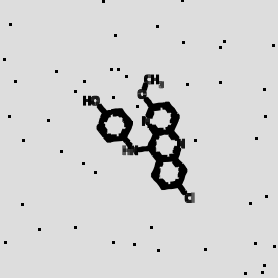 COc1ccc2nc3cc(Cl)ccc3c(Nc3ccc(O)cc3)c2n1